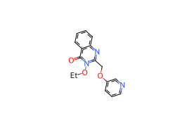 CCOn1c(COc2cccnc2)nc2ccccc2c1=O